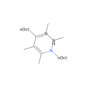 CCCCCCCCC1=[Si](C)[SiH](C)N(CCCCCCCC)C(C)=C1C